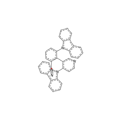 N#Cc1cccc(-n2c3ccccc3c3ccccc32)c1-c1cnccc1-n1c2ccccc2c2ccccc21